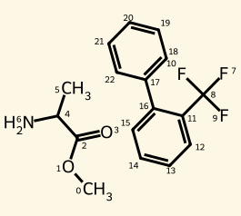 COC(=O)C(C)N.FC(F)(F)c1ccccc1-c1ccccc1